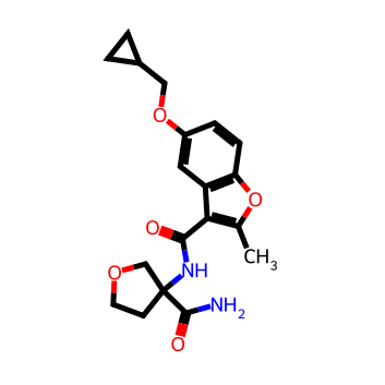 Cc1oc2ccc(OCC3CC3)cc2c1C(=O)NC1(C(N)=O)CCOC1